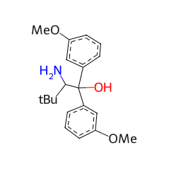 COc1cccc(C(O)(c2cccc(OC)c2)C(N)C(C)(C)C)c1